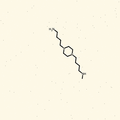 CNCCCCN1CCN(CCCCN)CC1